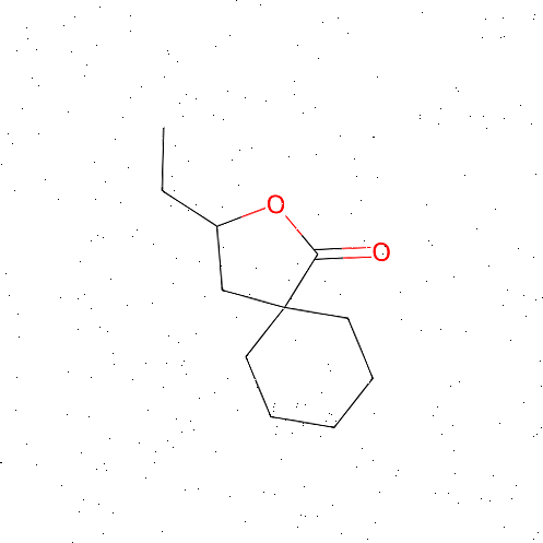 CCC1CC2(CCCCC2)C(=O)O1